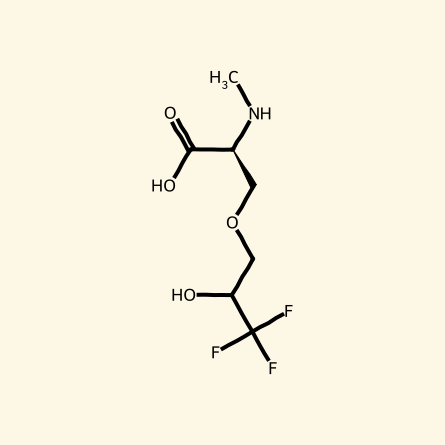 CN[C@@H](COCC(O)C(F)(F)F)C(=O)O